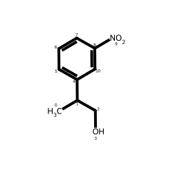 C[C](CO)c1cccc([N+](=O)[O-])c1